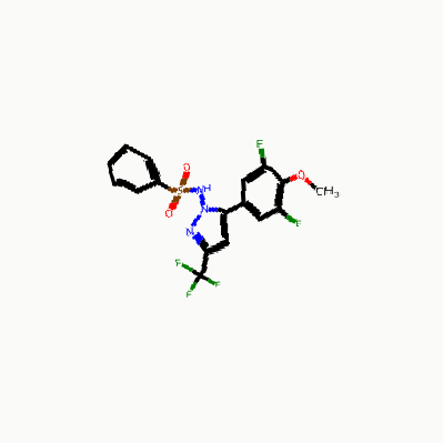 COc1c(F)cc(-c2cc(C(F)(F)F)nn2NS(=O)(=O)c2ccccc2)cc1F